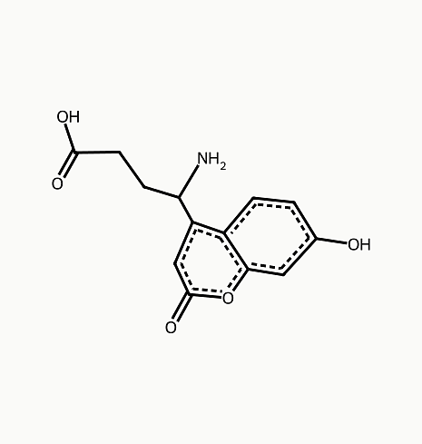 NC(CCC(=O)O)c1cc(=O)oc2cc(O)ccc12